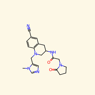 Cn1cncc1CN1CC(NC(=O)CN2CCCC2=O)Cc2cc(C#N)ccc21